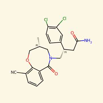 C[C@H]1COc2c(C#N)cccc2C(=O)N(C[C@@H](CC(N)=O)c2ccc(Cl)c(Cl)c2)C1